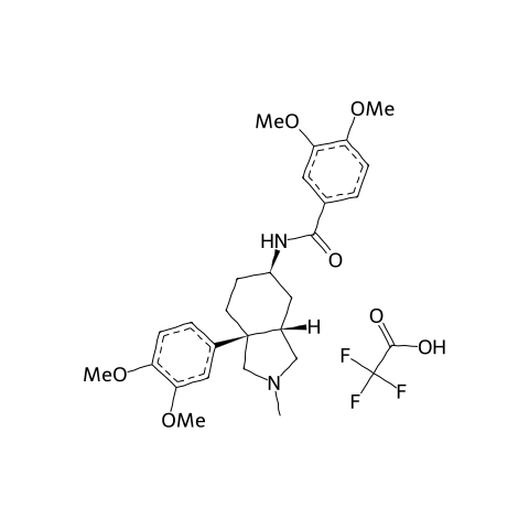 COc1ccc(C(=O)N[C@@H]2CC[C@@]3(c4ccc(OC)c(OC)c4)CN(C)C[C@H]3C2)cc1OC.O=C(O)C(F)(F)F